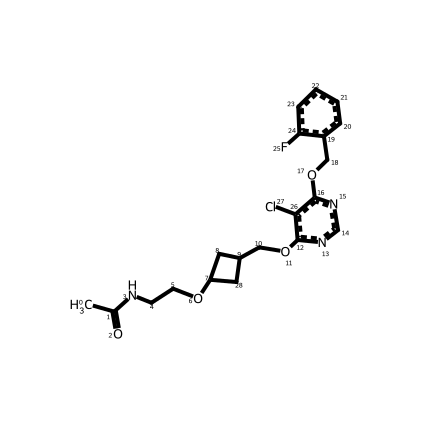 CC(=O)NCCOC1CC(COc2ncnc(OCc3ccccc3F)c2Cl)C1